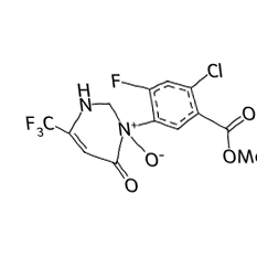 COC(=O)c1cc([N+]2([O-])CNC(C(F)(F)F)=CC2=O)c(F)cc1Cl